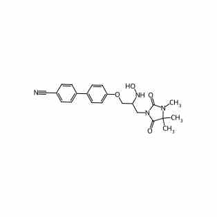 CN1C(=O)N(CC(COc2ccc(-c3ccc(C#N)cc3)cc2)NO)C(=O)C1(C)C